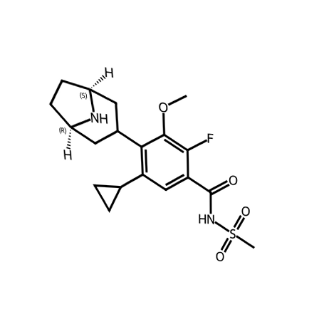 COc1c(F)c(C(=O)NS(C)(=O)=O)cc(C2CC2)c1C1C[C@H]2CC[C@@H](C1)N2